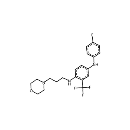 Fc1ccc(Nc2ccc(NCCCN3CCOCC3)c(C(F)(F)F)c2)cc1